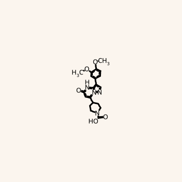 COc1ccc(-c2cnn3c(C4CCN(C(=O)O)CC4)cc(=O)[nH]c23)cc1OC